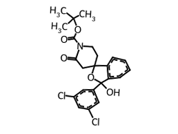 CC(C)(C)OC(=O)N1CCC2(CC1=O)OC(O)(c1cc(Cl)cc(Cl)c1)c1ccccc12